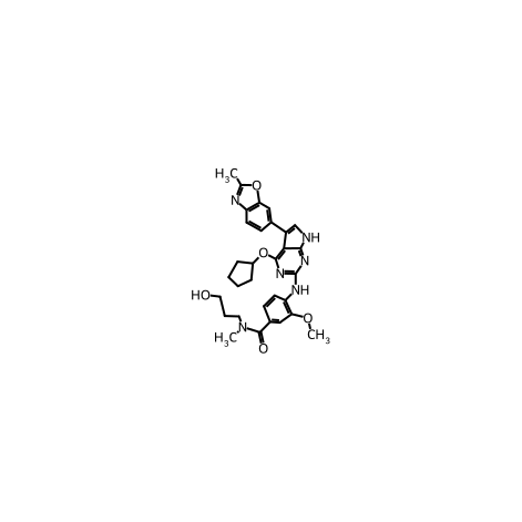 COc1cc(C(=O)N(C)CCCO)ccc1Nc1nc(OC2CCCC2)c2c(-c3ccc4nc(C)oc4c3)c[nH]c2n1